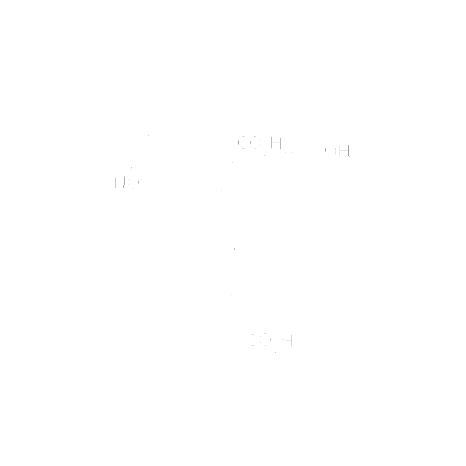 O=C(O)CCCCCCC(C(=O)O)(c1cccc(O)c1)c1cccc(O)c1